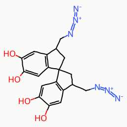 [N-]=[N+]=NCC1CC2(CC(CN=[N+]=[N-])c3cc(O)c(O)cc32)c2cc(O)c(O)cc21